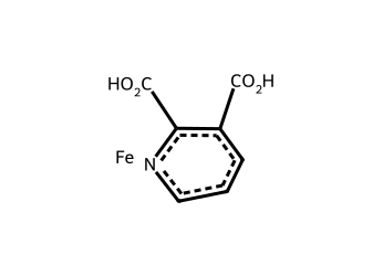 O=C(O)c1cccnc1C(=O)O.[Fe]